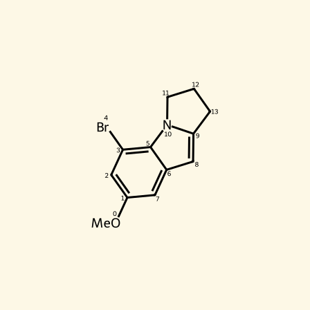 COc1cc(Br)c2c(c1)cc1n2CCC1